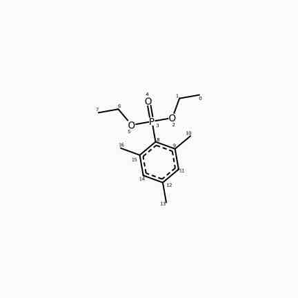 CCOP(=O)(OCC)c1c(C)cc(C)cc1C